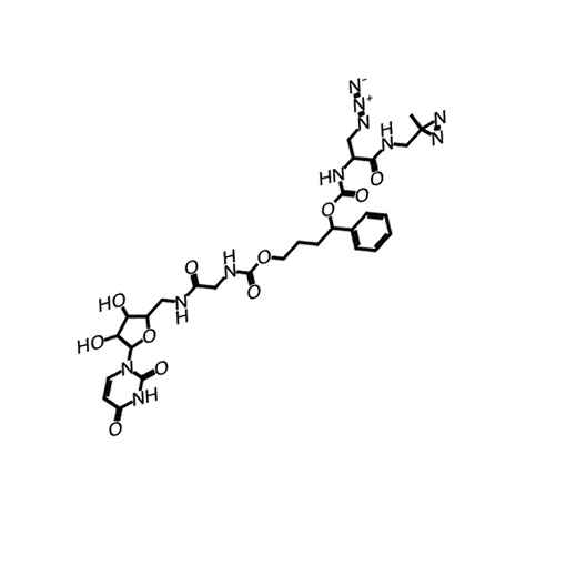 CC1(CNC(=O)C(CN=[N+]=[N-])NC(=O)OC(CCCOC(=O)NCC(=O)NCC2OC(n3ccc(=O)[nH]c3=O)C(O)C2O)c2ccccc2)N=N1